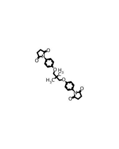 CC(C)(COc1ccc(N2C(=O)CCC2=O)cc1)COc1ccc(N2C(=O)CCC2=O)cc1